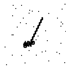 CCCCCCCCCCCCCCCCCC(=O)N/N=C\c1ccco1